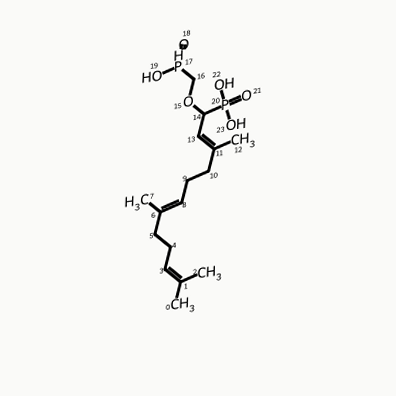 CC(C)=CCCC(C)=CCCC(C)=CC(OC[PH](=O)O)P(=O)(O)O